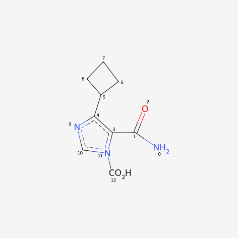 NC(=O)c1c(C2CCC2)ncn1C(=O)O